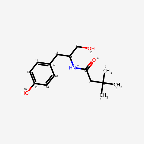 CC(C)(C)CC(=O)NC(CO)Cc1ccc(O)cc1